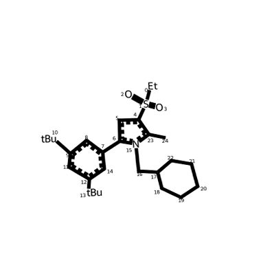 CCS(=O)(=O)c1cc(-c2cc(C(C)(C)C)cc(C(C)(C)C)c2)n(CC2CCCCC2)c1C